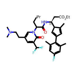 CCOC(=O)C[C@H](NC(=O)C(CC(C)C)n1cc(CCN(C)C)cc(C(F)F)c1=O)C1C=C(c2c(C)cc(F)cc2C)C=C1C